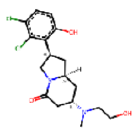 CN(CCO)[C@@H]1CC(=O)N2C[C@@H](c3c(O)ccc(Cl)c3Cl)C[C@H]2C1